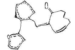 O=C1CCC=CC1=Cc1ccccc1-c1ccco1